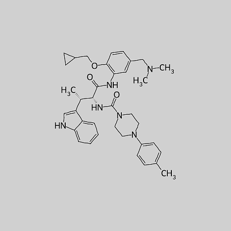 Cc1ccc(N2CCN(C(=O)N[C@@H](C(=O)Nc3cc(CN(C)C)ccc3OCC3CC3)[C@@H](C)c3c[nH]c4ccccc34)CC2)cc1